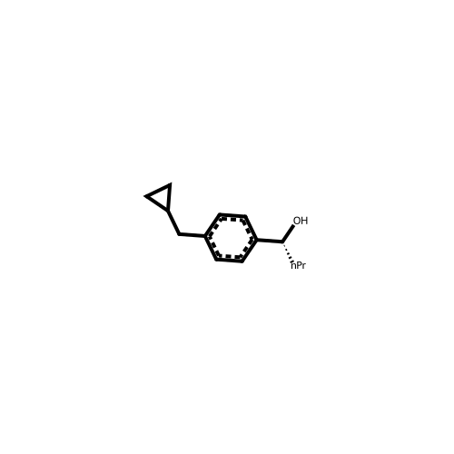 CCC[C@@H](O)c1ccc(CC2CC2)cc1